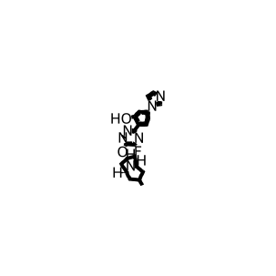 CC1C[C@H]2C[C@H](Oc3cnc(-c4ccc(-n5ccnc5)cc4O)nn3)[C@@H](F)[C@@H](C1)N2